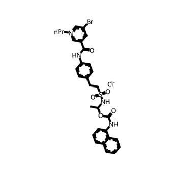 CCC[n+]1cc(Br)cc(C(=O)Nc2ccc(CCS(=O)(=O)NC(C)OC(=O)Nc3cccc4ccccc34)cc2)c1.[Cl-]